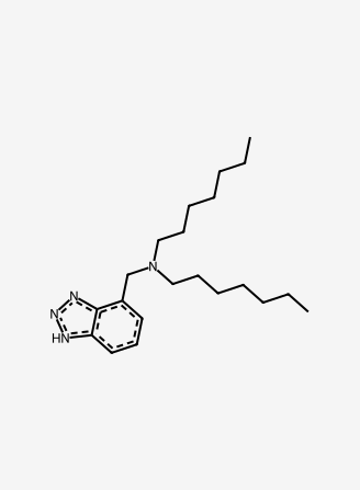 CCCCCCCN(CCCCCCC)Cc1cccc2[nH]nnc12